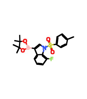 Cc1ccc(S(=O)(=O)n2cc(B3OC(C)(C)C(C)(C)O3)c3cccc(F)c32)cc1